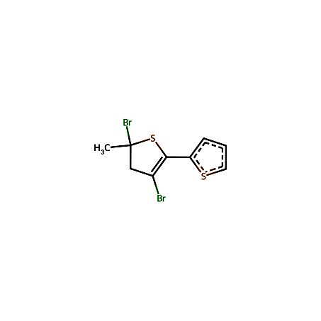 CC1(Br)CC(Br)=C(c2cccs2)S1